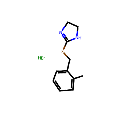 Br.Cc1ccccc1CSC1=NCCN1